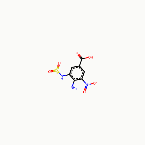 Nc1c(N[SH](=O)=O)cc(C(=O)O)cc1[N+](=O)[O-]